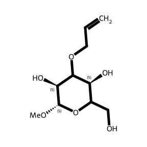 C=CCOC1[C@@H](O)C(CO)O[C@H](OC)[C@H]1O